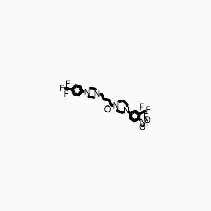 O=C(CCCN1CCN(c2ccc(C(F)(F)F)cc2)CC1)N1CCCN(c2ccc([N+](=O)[O-])c(C(F)(F)F)c2)CC1